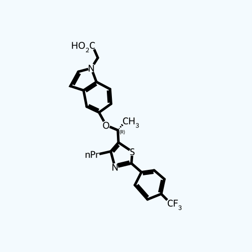 CCCc1nc(-c2ccc(C(F)(F)F)cc2)sc1[C@@H](C)Oc1ccc2c(ccn2CC(=O)O)c1